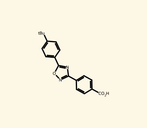 CC(C)(C)c1ccc(-c2nc(-c3ccc(C(=O)O)cc3)no2)cc1